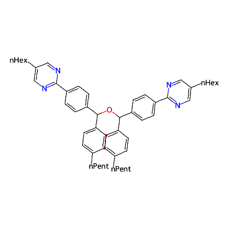 CCCCCCc1cnc(-c2ccc(C(OC(c3ccc(CCCCC)cc3)c3ccc(-c4ncc(CCCCCC)cn4)cc3)c3ccc(CCCCC)cc3)cc2)nc1